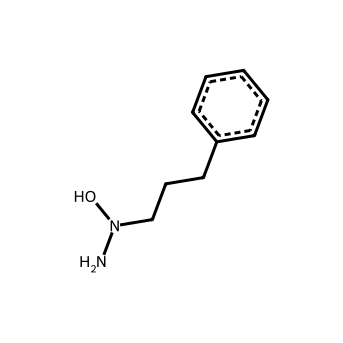 NN(O)CCCc1ccccc1